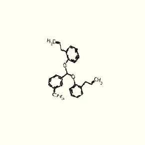 C=CCc1ccccc1OC(Oc1ccccc1CC=C)c1cccc(C)c1